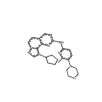 Cc1nc(Nc2ncc3ccc4ncn(C5CCCC5)c4c3n2)ccc1N1CCOCC1